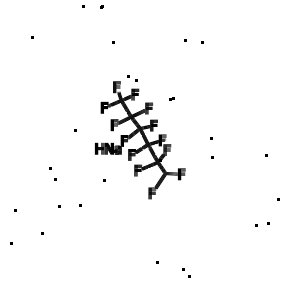 FC(F)C(F)(F)C(F)(F)C(F)(F)C(F)(F)C(F)(F)F.[NaH]